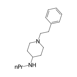 [CH2]CCNC1CCN(CCc2ccccc2)CC1